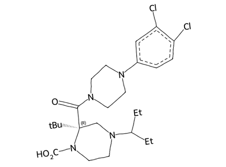 CCC(CC)N1CCN(C(=O)O)[C@](C(=O)N2CCN(c3ccc(Cl)c(Cl)c3)CC2)(C(C)(C)C)C1